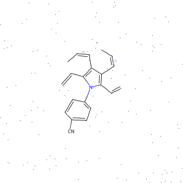 C=Cc1c(/C=C\C)c(/C=C\C)c(C=C)n1-c1ccc(C#N)cc1